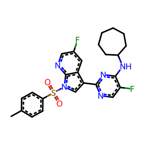 Cc1ccc(S(=O)(=O)n2cc(-c3ncc(F)c(NC4CCCCCC4)n3)c3cc(F)cnc32)cc1